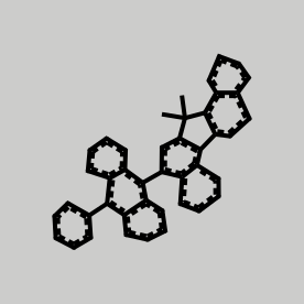 CC1(C)c2cc(-c3c4ccccc4c(-c4ccccc4)c4ccccc34)c3ccccc3c2-c2ccc3ccccc3c21